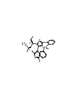 C/C=C(/C=C(/C)S)c1sc2c(c1-c1cc(C)sc1C)[PH](C)(c1ccccc1)c1ccccc1-2